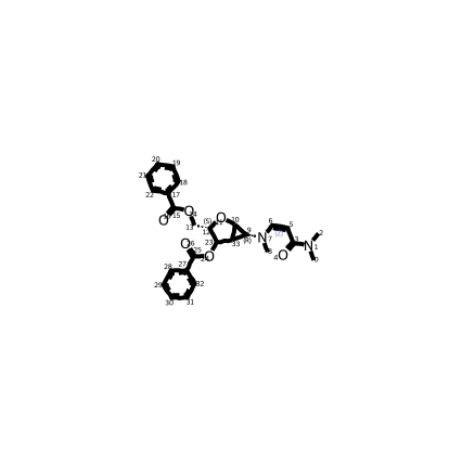 CN(C)C(=O)/C=C\N(C)[C@H]1C2O[C@@H](COC(=O)c3ccccc3)C(OC(=O)c3ccccc3)C21